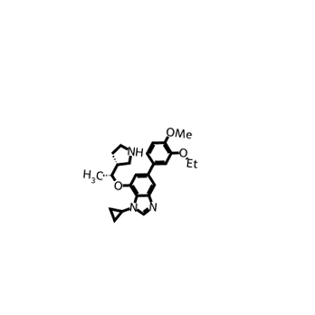 CCOc1cc(-c2cc(O[C@H](C)[C@@H]3CCNC3)c3c(c2)ncn3C2CC2)ccc1OC